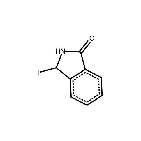 O=C1NC(I)c2ccccc21